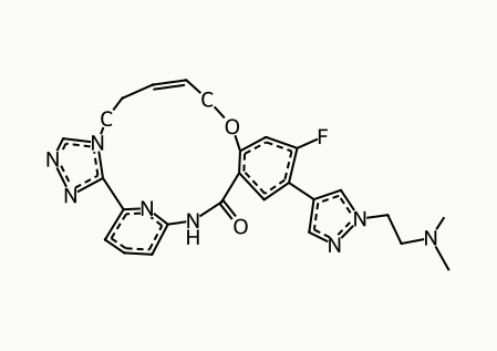 CN(C)CCn1cc(-c2cc3c(cc2F)OC/C=C\CCn2cnnc2-c2cccc(n2)NC3=O)cn1